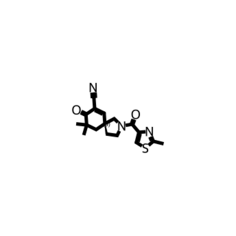 Cc1nc(C(=O)N2CC[C@@]3(C=C(C#N)C(=O)C(C)(C)C3)C2)cs1